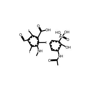 CC(=O)Nc1cccc([As](=O)(O)O)c1O.CNc1c(I)c(C=O)c(I)c(C(=O)O)c1I